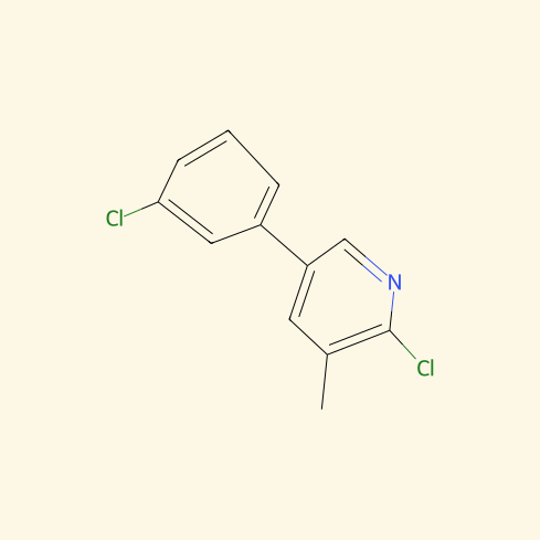 Cc1cc(-c2cccc(Cl)c2)cnc1Cl